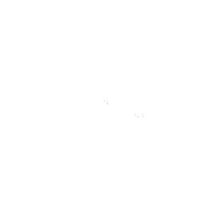 C=C(C)N(CC(C)CN)C1C=CC(C)=CC1